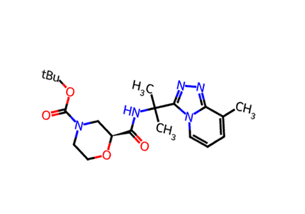 Cc1cccn2c(C(C)(C)NC(=O)[C@@H]3CN(C(=O)OC(C)(C)C)CCO3)nnc12